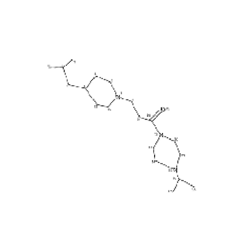 CC(C)CC1CCN(CCC(=O)N2CCN(C(C)C)CC2)CC1